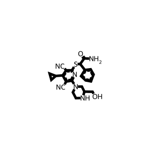 N#Cc1c(SC(C(N)=O)c2ccccc2)nc(N2CCNC(CO)C2)c(C#N)c1C1CC1